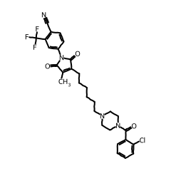 CC1=C(CCCCCCN2CCN(C(=O)c3ccccc3Cl)CC2)C(=O)N(c2ccc(C#N)c(C(F)(F)F)c2)C1=O